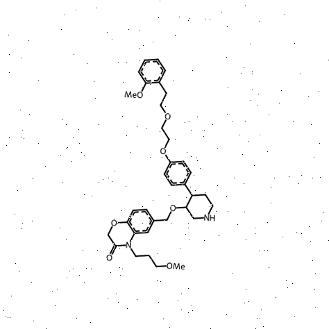 COCCCN1C(=O)COc2ccc(COC3CNCCC3c3ccc(OCCOCCc4ccccc4OC)cc3)cc21